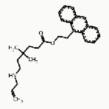 C=CCNCCC(C)(C)CCC(=O)OCCc1c2ccccc2cc2ccccc12